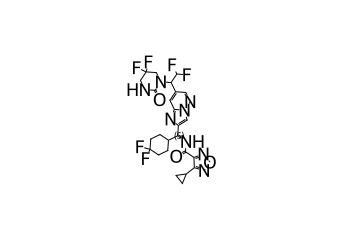 O=C(N[C@H](c1cn2ncc(C(C(F)F)N3CC(F)(F)CNC3=O)cc2n1)C1CCC(F)(F)CC1)c1nonc1C1CC1